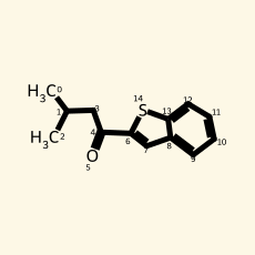 CC(C)CC(=O)c1cc2ccccc2s1